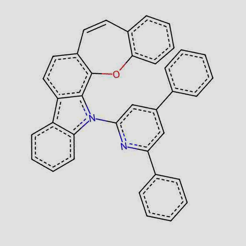 C1=Cc2ccc3c4ccccc4n(-c4cc(-c5ccccc5)cc(-c5ccccc5)n4)c3c2Oc2ccccc21